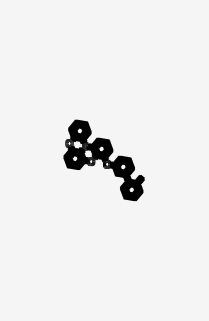 Cc1ccccc1-c1cccc(Oc2cccc3c2Oc2cccc4c2B3c2ccccc2O4)c1